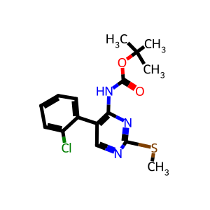 CSc1ncc(-c2ccccc2Cl)c(NC(=O)OC(C)(C)C)n1